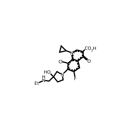 CCNCC1(O)CCN(c2c(F)cc3c(=O)c(C(=O)O)cn(C4CC4)c3c2Cl)C1